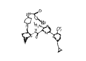 CC1(NC(=O)OC(C)(C)C)CCN(c2cccnc2NC(=O)c2nc(-c3nc(C4CC4)ccc3C(F)(F)F)cnc2N)CC1